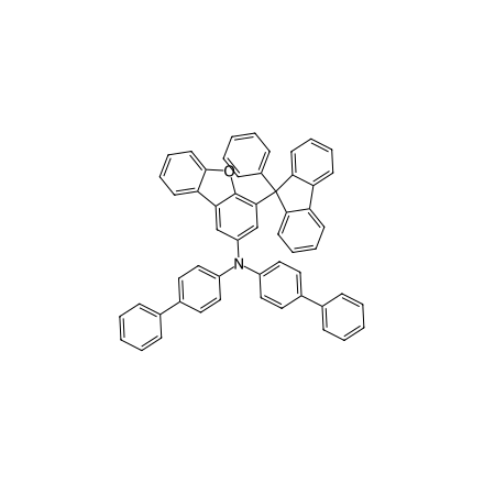 c1ccc(-c2ccc(N(c3ccc(-c4ccccc4)cc3)c3cc(C4(c5ccccc5)c5ccccc5-c5ccccc54)c4oc5ccccc5c4c3)cc2)cc1